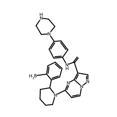 Bc1ccccc1C1CCCCN1c1ccn2ncc(C(=C)Nc3ccc(N4CCNCC4)cc3)c2n1